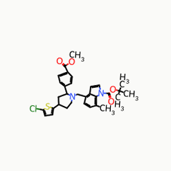 COC(=O)c1ccc(C2CC(c3ccc(Cl)s3)CCN2Cc2ccc(C)c3c2ccn3C(=O)OC(C)(C)C)cc1